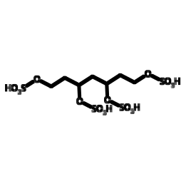 O=S(=O)(O)OCCC(CC(CCOS(=O)(=O)O)OS(=O)(=O)O)OS(=O)(=O)O